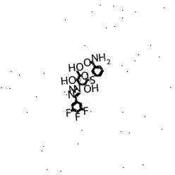 NC(=O)c1cccc(S[C@H]2OC(CO)[C@H](O)C(n3cc(-c4cc(F)c(F)c(F)c4)nn3)C2O)c1